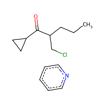 CCCC(CCl)C(=O)C1CC1.c1ccncc1